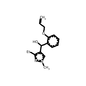 C=CCOc1ccccc1C(O)c1cn(C)nc1CC